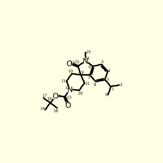 CC(C)c1ccc2c(c1)C1(CCN(C(=O)OC(C)(C)C)CC1)C(=O)N2C